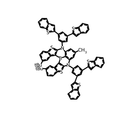 Cc1cc2c3c(c1)N(c1cc(-c4cc5ccccc5s4)cc(-c4cc5ccccc5s4)c1)c1sc4ccc(C(C)(C)C)cc4c1B3c1c(sc3ccc(C(C)(C)C)cc13)N2c1cc(-c2cc3ccccc3s2)cc(-c2cc3ccccc3s2)c1